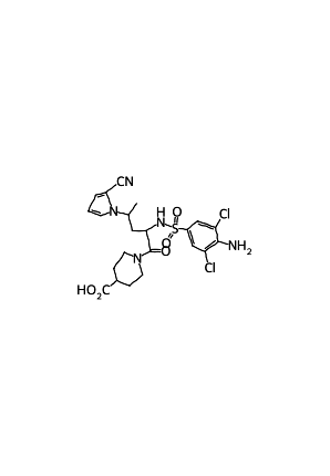 CC(CC(NS(=O)(=O)c1cc(Cl)c(N)c(Cl)c1)C(=O)N1CCC(C(=O)O)CC1)n1cccc1C#N